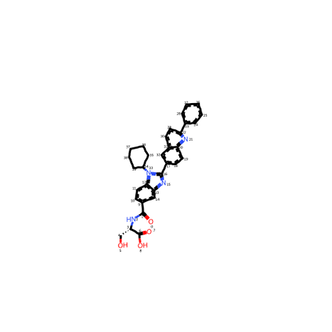 O=C(N[C@@H](CO)C(=O)O)c1ccc2c(c1)nc(-c1ccc3nc(-c4ccccc4)ccc3c1)n2C1CCCCC1